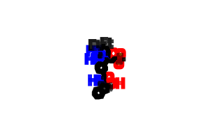 CCC1(CC)CC(=O)N(C(CCS(C)(=O)=O)c2cccc(C(=O)N[C@@H]3c4ccccc4C[C@H]3O)c2)C(=N)N1